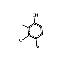 N#Cc1ccc(Br)c(Cl)c1F